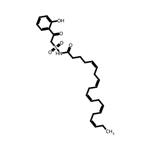 CC/C=C\C/C=C\C/C=C\C/C=C\C/C=C\CCCC(=O)NS(=O)(=O)CC(=O)c1ccccc1O